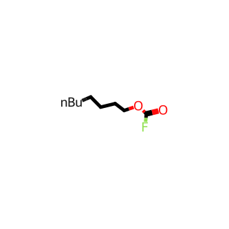 CCCCCCCCOC(=O)F